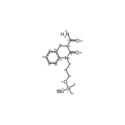 CC(C)(C)[Si](C)(C)OCCCN1C(=O)C(C(N)=O)Cc2ccccc21